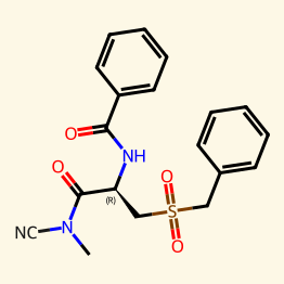 CN(C#N)C(=O)[C@H](CS(=O)(=O)Cc1ccccc1)NC(=O)c1ccccc1